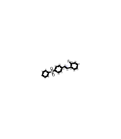 O=S(=O)(c1ccccc1)c1ccc(/C=C/c2ccccc2F)cc1